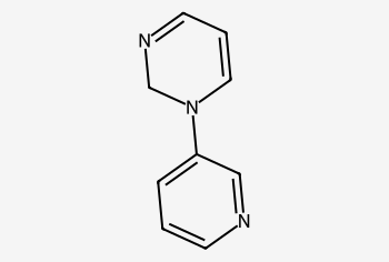 C1=CN(c2cccnc2)CN=C1